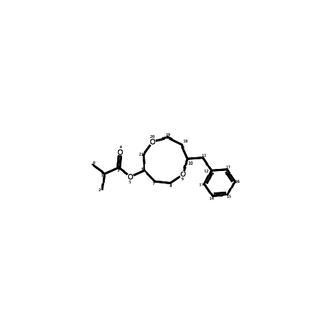 CC(C)C(=O)OC1CCOC(Cc2ccccc2)CCOC1